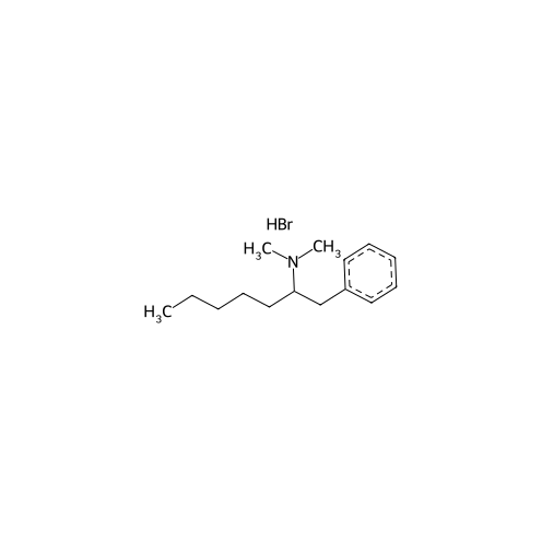 Br.CCCCCC(Cc1ccccc1)N(C)C